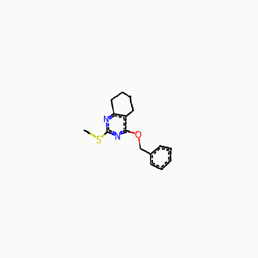 CSc1nc2c(c(OCc3ccccc3)n1)CCCC2